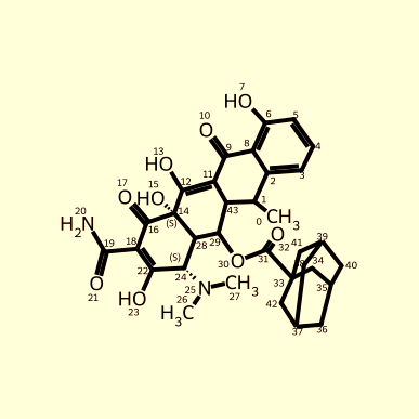 CC1c2cccc(O)c2C(=O)C2=C(O)[C@]3(O)C(=O)C(C(N)=O)=C(O)[C@@H](N(C)C)C3C(OC(=O)C34CC5CC(CC(C5)C3)C4)C21